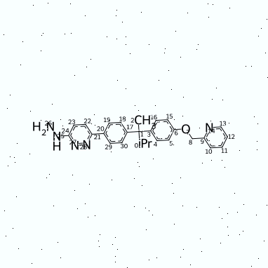 CC(C)C(C)(c1ccc(OCc2ccccn2)cc1)c1ccc(-c2ccc(NN)nn2)cc1